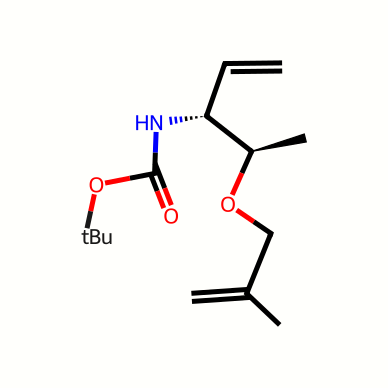 C=C[C@@H](NC(=O)OC(C)(C)C)[C@@H](C)OCC(=C)C